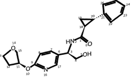 O=C(N[C@@H](CO)c1ccc(O[C@H]2CCOC2)nc1)[C@H]1C[C@@H]1c1ccccc1